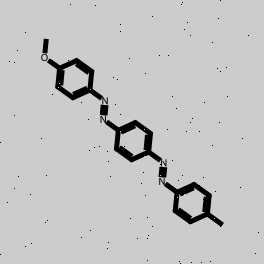 COc1ccc(N=Nc2ccc(N=Nc3ccc(C)cc3)cc2)cc1